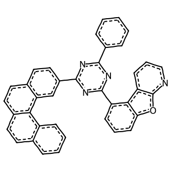 c1ccc(-c2nc(-c3ccc4ccc5ccc6ccccc6c5c4c3)nc(-c3cccc4oc5ncccc5c34)n2)cc1